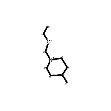 CCOCN1CCC(C)CC1